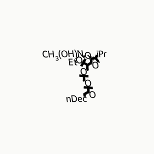 CCCCCCCCCCCC(=O)C(C)(C)OCC(C)(C)OCC(C1OCC(C(C)C)[C@@H]1OCN(C)O)C(C)(C)OCC